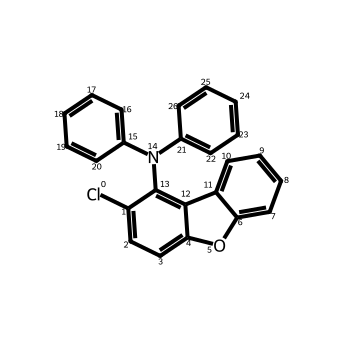 Clc1ccc2oc3ccccc3c2c1N(c1ccccc1)c1ccccc1